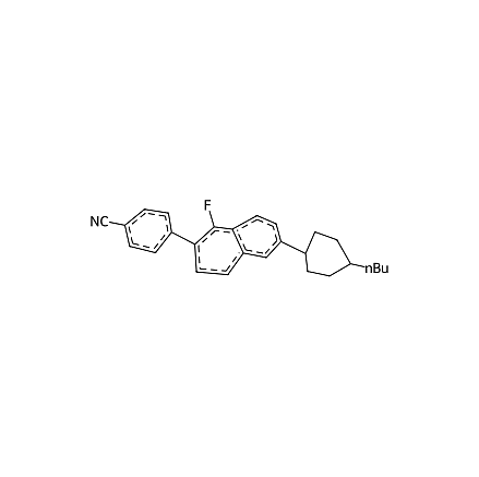 CCCCC1CCC(c2ccc3c(F)c(-c4ccc(C#N)cc4)ccc3c2)CC1